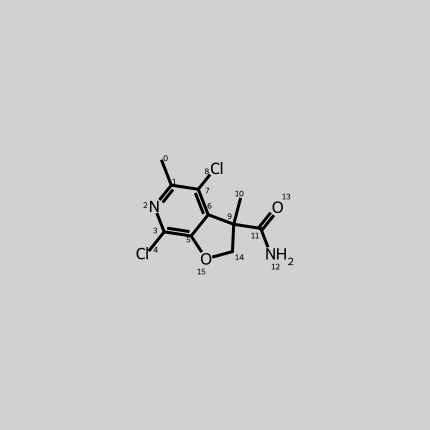 Cc1nc(Cl)c2c(c1Cl)C(C)(C(N)=O)CO2